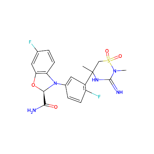 CN1C(=N)NC(C)(c2cc(N3c4ccc(F)cc4O[C@@H]3C(N)=O)ccc2F)CS1(=O)=O